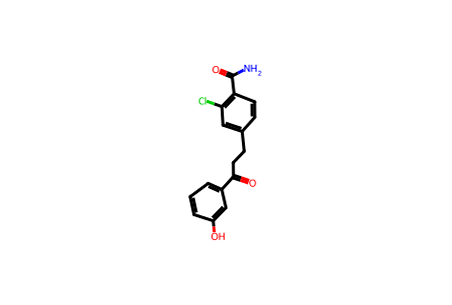 NC(=O)c1ccc(CCC(=O)c2cccc(O)c2)cc1Cl